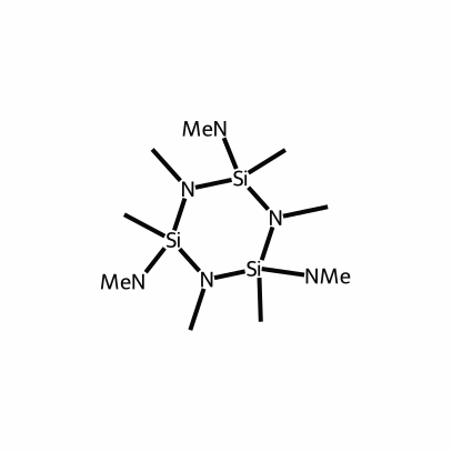 CN[Si]1(C)N(C)[Si](C)(NC)N(C)[Si](C)(NC)N1C